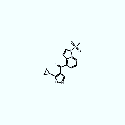 CS(=O)(=O)n1ccc2c(C(=O)c3cnoc3C3CC3)cccc21